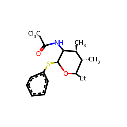 CCC1O[C@@H](Sc2ccccc2)C(NC(=O)C(Cl)(Cl)Cl)[C@@H](C)[C@@H]1C